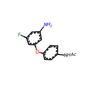 CC(=O)Nc1ccc(Oc2cc(N)cc(F)c2)cc1